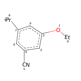 CCOc1cc(C#N)cc([C](C)C)c1